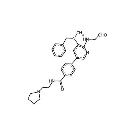 CN(Cc1ccccc1)c1cc(-c2ccc(C(=O)NCCN3CCCC3)cc2)cnc1NCC=O